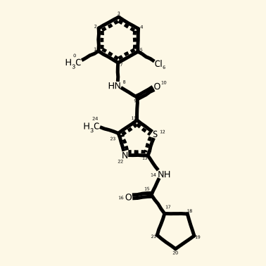 Cc1cccc(Cl)c1NC(=O)c1sc(NC(=O)C2CCCC2)nc1C